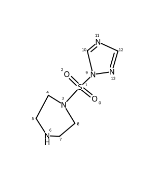 O=S(=O)(N1CCNCC1)n1cncn1